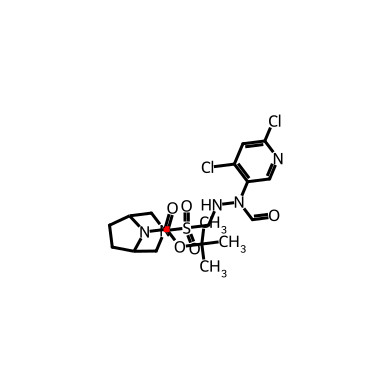 CC(C)(C)OC(=O)N1C2CCC1CN(S(=O)(=O)CNN(C=O)c1cnc(Cl)cc1Cl)C2